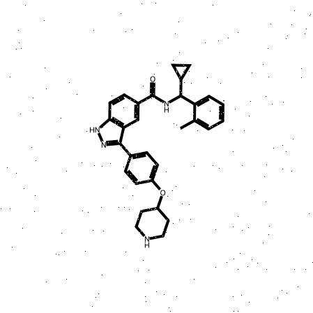 Cc1ccccc1C(NC(=O)c1ccc2[nH]nc(-c3ccc(OC4CCNCC4)cc3)c2c1)C1CC1